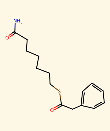 NC(=O)CCCCCCSC(=O)Cc1ccccc1